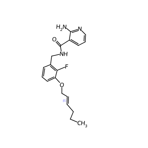 CCC/C=C/COc1cccc(CNC(=O)c2cccnc2N)c1F